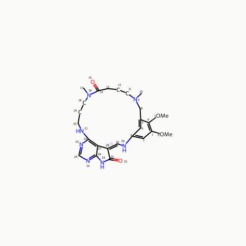 COc1cc2cc(c1OC)CN(C)CCCC(=O)N(C)CCCNc1ncnc3c1/C(=C/N2)C(=O)N3